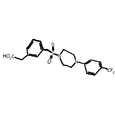 O=C(O)Cc1cccc(S(=O)(=O)N2CCN(c3ccc(C(F)(F)F)cc3)CC2)c1